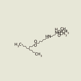 CCCCCC(CCCCC)CCCOC(=O)CCCCCCCNCCCNC(=O)OC(C)(C)C